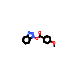 COc1ccc(C(=O)On2nnc3ccccc32)cc1